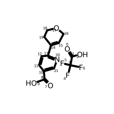 O=C(O)C(F)(F)F.O=C(O)c1ccc(C2=CCOCC2)nc1